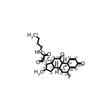 CCCCNC(=O)C(=O)[C@H]1C(C)C[C@H]2[C@@H]3CC(F)C4=CC(=O)C=C[C@]4(C)[C@H]3C(=O)C[C@]12C